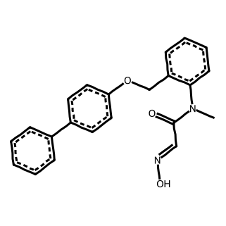 CN(C(=O)C=NO)c1ccccc1COc1ccc(-c2ccccc2)cc1